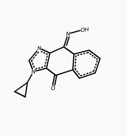 O=C1c2ccccc2/C(=N\O)c2ncn(C3CC3)c21